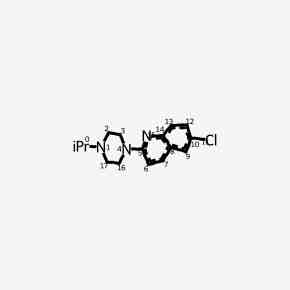 CC(C)N1CCN(c2ccc3cc(Cl)ccc3n2)CC1